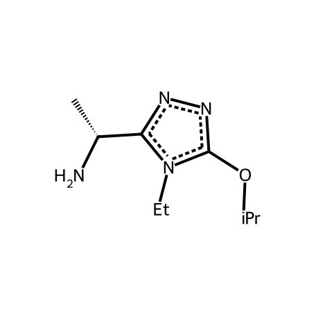 CCn1c(OC(C)C)nnc1[C@@H](C)N